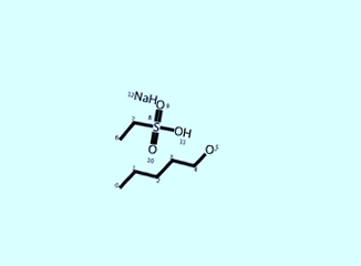 CCCCC[O].CCS(=O)(=O)O.[NaH]